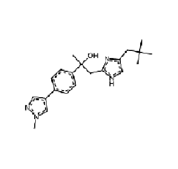 Cn1cc(-c2ccc(C(C)(O)Cc3nc(CC(C)(C)C)c[nH]3)cc2)cn1